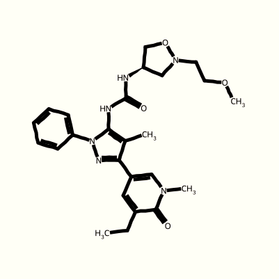 CCc1cc(-c2nn(-c3ccccc3)c(NC(=O)N[C@H]3CON(CCOC)C3)c2C)cn(C)c1=O